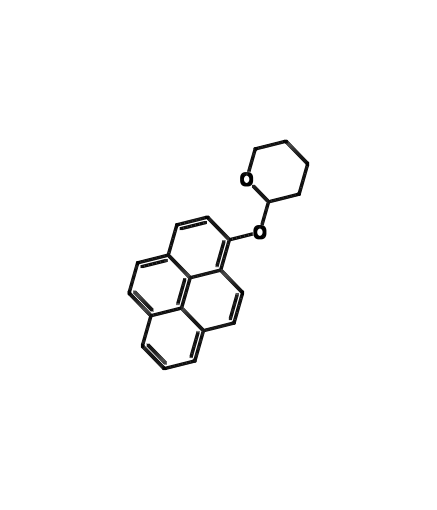 c1cc2ccc3ccc(OC4CCCCO4)c4ccc(c1)c2c34